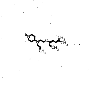 C=CCN(CCO/C(C=C)=C/C=C(C)C)C1CCN(I)CC1